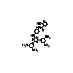 N[C@@H]1C[C@H](N)CN(c2nc(Nc3ccc(NC(=O)c4cccnc4O)cc3)nc(N3C[C@H](N)C[C@H](N)C3)n2)C1